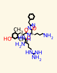 Cc1cc(O)cc(C)c1C[C@@H](NC(=O)[C@H](N)CCCNC(=N)N)C(=O)N[C@@H](CCCCN)c1nc(Cc2ccccc2)no1